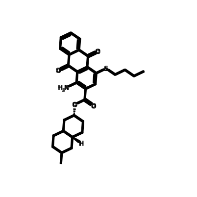 CCCCSc1cc(C(=O)O[C@@H]2CC[C@@H]3CC(C)CCC3C2)c(N)c2c1C(=O)c1ccccc1C2=O